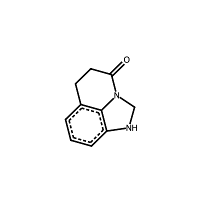 O=C1CCc2cccc3c2N1CN3